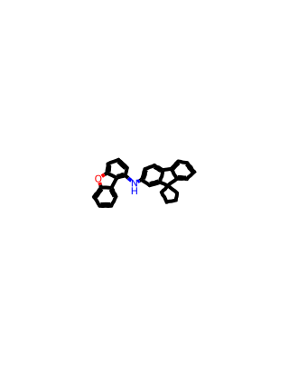 c1ccc2c(c1)-c1ccc(Nc3cccc4oc5ccccc5c34)cc1C21CCCC1